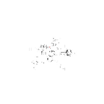 COCOc1cc(OCC[Si](C)(C)C)cc(/C=C/C[C@@H]2OC(C)(C)O[C@@H]2C(/C=C\[C@@H](C)[C@H](C)O[Si](C)(C)C(C)(C)C)OC(=O)c2ccccc2)c1C(=O)OCC[Si](C)(C)C